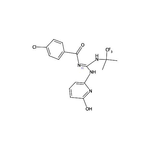 CC(C)(N/C(=N\C(=O)c1ccc(Cl)cc1)Nc1cccc(O)n1)C(F)(F)F